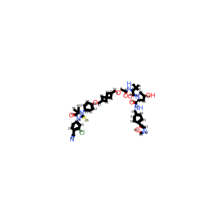 CC(C)(C)C(NC(=O)COCC1CC2(C1)CC(COc1ccc(N3C(=S)N(c4ccc(C#N)c(Cl)c4)C(=O)C3(C)C)cc1)C2)C(=O)N1C[C@H](O)C[C@H]1C(=O)NCc1ccc(-c2cnco2)cc1